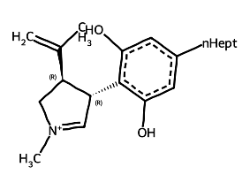 C=C(C)[C@@H]1C[N+](C)=C[C@H]1c1c(O)cc(CCCCCCC)cc1O